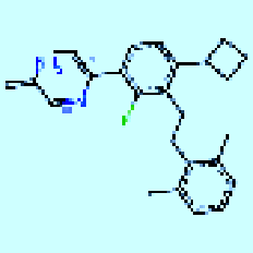 C=C(N)/C=N\C(=C/C)c1ccc(C2CCC2)c(CCc2c(C)cccc2C)c1F